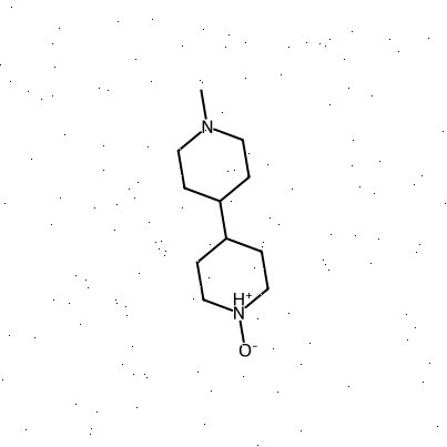 CN1CCC(C2CC[NH+]([O-])CC2)CC1